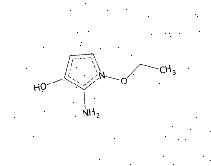 CCOn1ccc(O)c1N